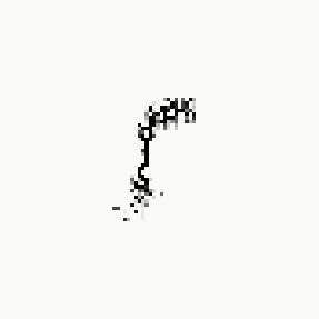 Nc1nc2[nH]c(CCC#Cc3csc(C(=O)NC(CCC(=O)O)C(=O)O)c3)cc2c(=O)[nH]1